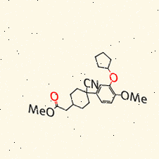 COC(=O)CC1CCC(C#N)(c2ccc(OC)c(OC3CCCC3)c2)CC1